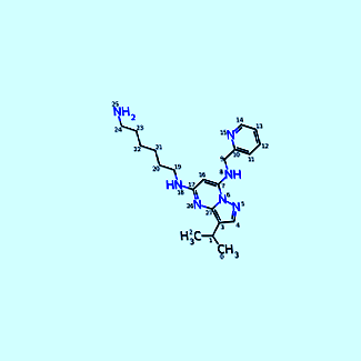 CC(C)c1cnn2c(NCc3ccccn3)cc(NCCCCCCN)nc12